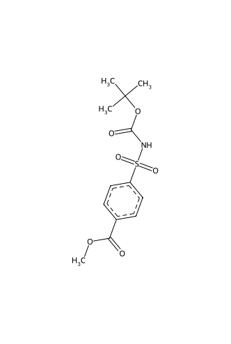 COC(=O)c1ccc(S(=O)(=O)NC(=O)OC(C)(C)C)cc1